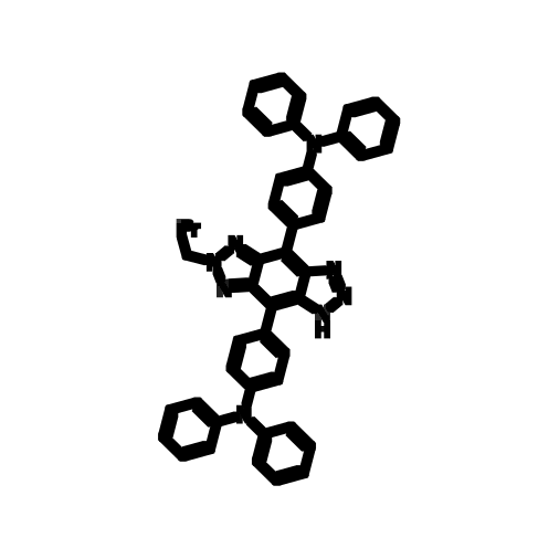 CC(C)Cn1nc2c(-c3ccc(N(c4ccccc4)c4ccccc4)cc3)c3nn[nH]c3c(-c3ccc(N(c4ccccc4)c4ccccc4)cc3)c2n1